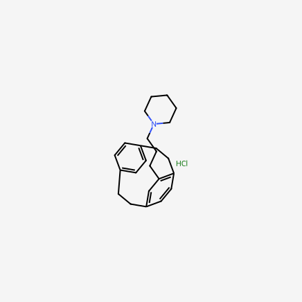 Cl.c1cc2ccc1CCc1ccc(c(CCCN3CCCCC3)c1)CC2